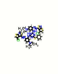 CCN(CC)c1ccc(/N=N/c2snc3scc(Cl)c23)c(Nc2nc(Nc3cc(N(CC)CC)ccc3/N=N/c3snc4scc(Cl)c34)nc(SC3CCCCC3)n2)c1